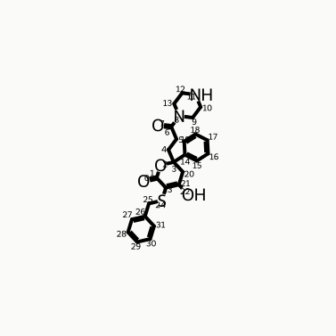 O=C1OC(CCC(=O)N2CCNCC2)(c2ccccc2)CC(O)=C1SCc1ccccc1